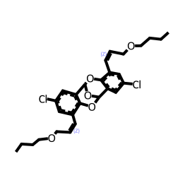 CCCCOC/C=C\c1cc(Cl)cc2c1OC1OC2Oc2c(/C=C\COCCCC)cc(Cl)cc21